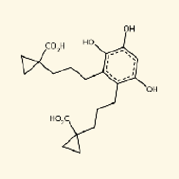 O=C(O)C1(CCCc2c(O)cc(O)c(O)c2CCCC2(C(=O)O)CC2)CC1